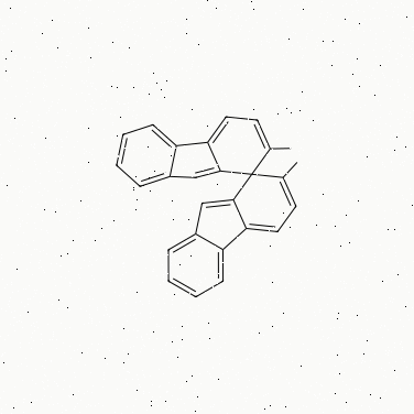 CC1=CC=C2C(=Cc3ccccc32)C12C(C)=CC=C1C2=Cc2ccccc21